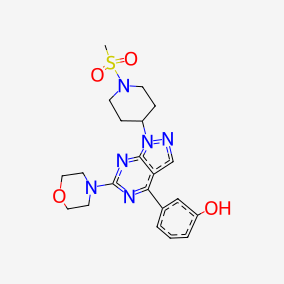 CS(=O)(=O)N1CCC(n2ncc3c(-c4cccc(O)c4)nc(N4CCOCC4)nc32)CC1